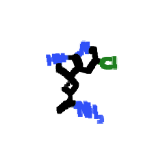 C=C(N)[C@H]1C[C@@]2(CNc3ncc(Cl)cc32)C1